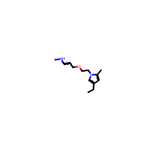 CCc1cc(C)n(CCOC/C=C/NI)c1